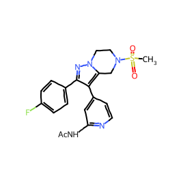 CC(=O)Nc1cc(-c2c(-c3ccc(F)cc3)nn3c2CN(S(C)(=O)=O)CC3)ccn1